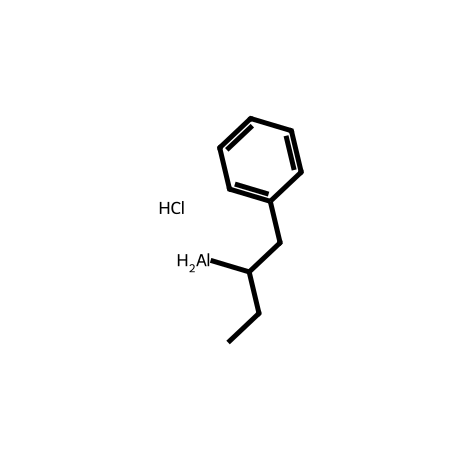 CC[CH]([AlH2])Cc1ccccc1.Cl